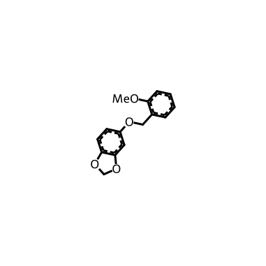 COc1ccccc1COc1ccc2c(c1)OCO2